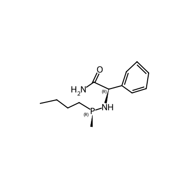 CCCC[P@](C)N[C@@H](C(N)=O)c1ccccc1